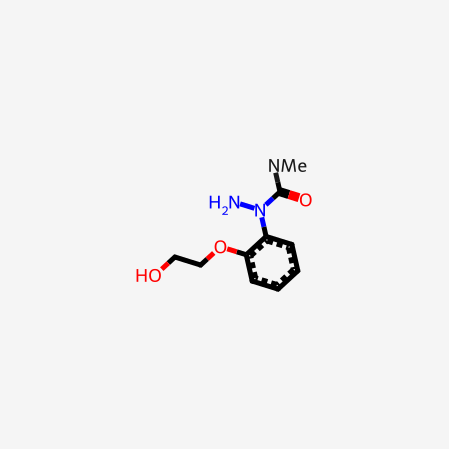 CNC(=O)N(N)c1ccccc1OCCO